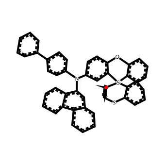 c1ccc(-c2ccc(N(c3ccc4c(c3)[Si]3(c5ccccc5O4)c4ccccc4Sc4ccccc43)c3cc4ccccc4c4ccccc34)cc2)cc1